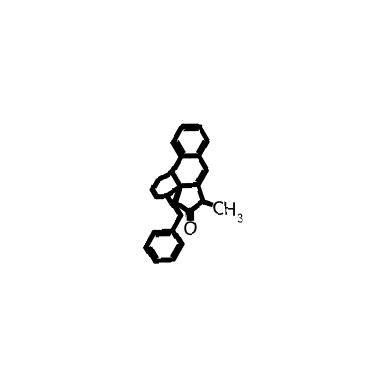 CC1C(=O)CC23C1=Cc1ccccc1C2CCCC3Cc1ccccc1